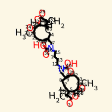 C=C1C(=O)O[C@H]2[C@H]1CC/C(CN(CCCCN(C/C1=C/CC[C@@]3(C)O[C@H]3[C@H]3OC(=O)C(=C)[C@@H]3CC1)C(=O)O)C(=O)O)=C\CC[C@@]1(C)O[C@@H]21